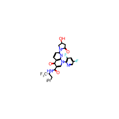 CC(C)C[C@@H](NC(=O)c1cn(-c2ncc(F)cc2F)c2nc(N3CC(O)CC3=O)ccc2c1=O)C(F)(F)F